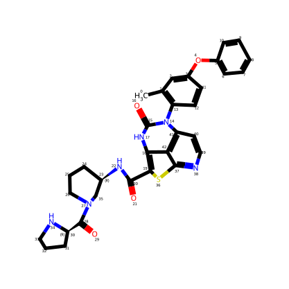 Cc1cc(Oc2ccccc2)ccc1N1C(=O)Nc2c(C(=O)N[C@@H]3CCCN(C(=O)[C@H]4CCCN4)C3)sc3nccc1c23